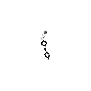 CCOCOc1ccc(C#Cc2ccc(C)cc2)cc1